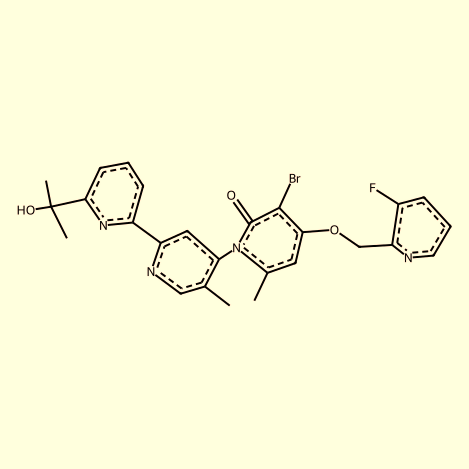 Cc1cnc(-c2cccc(C(C)(C)O)n2)cc1-n1c(C)cc(OCc2ncccc2F)c(Br)c1=O